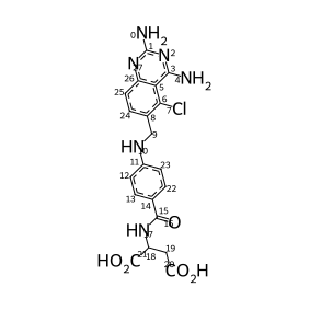 Nc1nc(N)c2c(Cl)c(CNc3ccc(C(=O)NC(CC(=O)O)C(=O)O)cc3)ccc2n1